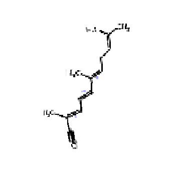 C#C/C(C)=C/C=C/C(C)=C/CC=C(C)C